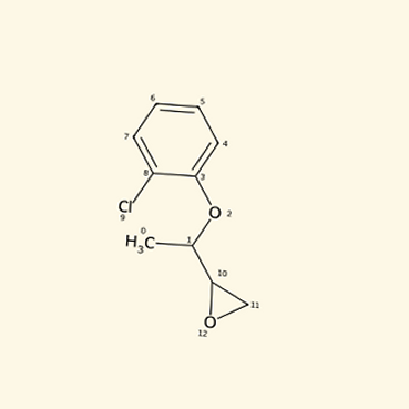 CC(Oc1ccccc1Cl)C1CO1